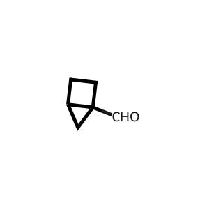 O=CC12CCC1C2